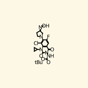 CC(C)(C)OC(=O)Nn1c(=O)c2cc(F)c(N3CCC(=NO)C3)c(Cl)c2n(C2CC2)c1=O